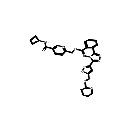 O=C(NC1CCC1)c1ccc(COc2nn3c(-c4cc(COC5CCCCO5)on4)nnc3c3ccccc23)nc1